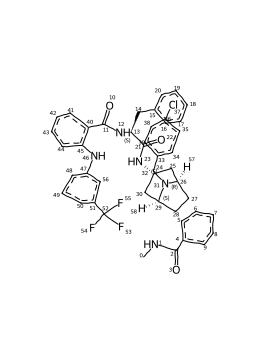 CNC(=O)c1ccccc1.O=C(N[C@@H](Cc1ccccc1)C(=O)N[C@@H]1C[C@H]2CC[C@@H](C1)N2Cc1ccc(Cl)cc1)c1ccccc1Nc1cccc(C(F)(F)F)c1